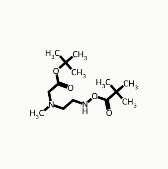 CN(CCNOC(=O)C(C)(C)C)CC(=O)OC(C)(C)C